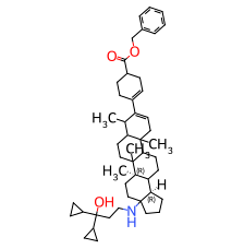 CC1C(C2=CCC(C(=O)OCc3ccccc3)CC2)=CCC2(C)C1CCC1(C)C2CCC2[C@H]3CCCC3(NCCC(O)(C3CC3)C3CC3)CC[C@]21C